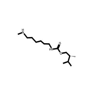 CNCCCCCCNC(=O)OC[C@H](C)C(C)C